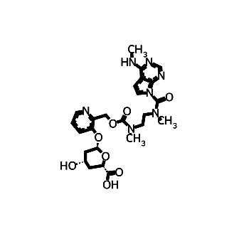 CNc1ncnc2c1ccn2C(=O)N(C)CCN(C)C(=O)OCc1ncccc1O[C@H]1C[C@@H](O)C[C@@H](C(=O)O)O1